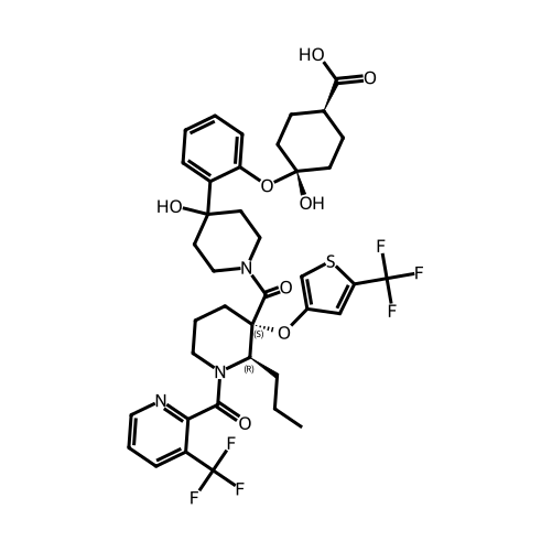 CCC[C@H]1N(C(=O)c2ncccc2C(F)(F)F)CCC[C@@]1(Oc1csc(C(F)(F)F)c1)C(=O)N1CCC(O)(c2ccccc2O[C@]2(O)CC[C@@H](C(=O)O)CC2)CC1